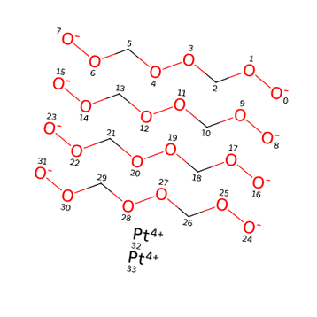 [O-]OCOOCO[O-].[O-]OCOOCO[O-].[O-]OCOOCO[O-].[O-]OCOOCO[O-].[Pt+4].[Pt+4]